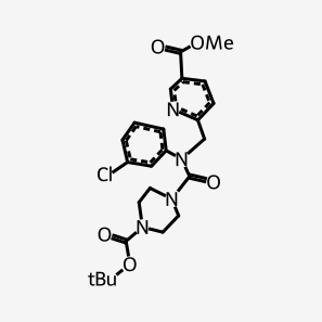 COC(=O)c1ccc(CN(C(=O)N2CCN(C(=O)OC(C)(C)C)CC2)c2cccc(Cl)c2)nc1